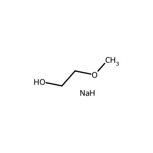 COCCO.[NaH]